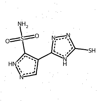 NS(=O)(=O)c1[nH]ncc1-c1nnc(S)[nH]1